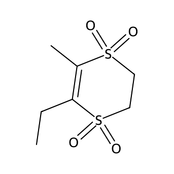 CCC1=C(C)S(=O)(=O)CCS1(=O)=O